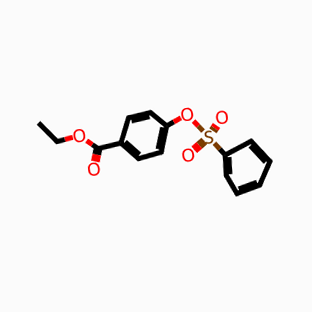 CCOC(=O)c1ccc(OS(=O)(=O)c2ccccc2)cc1